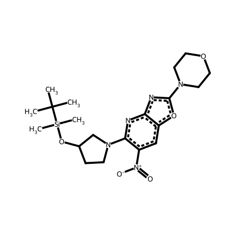 CC(C)(C)[Si](C)(C)OC1CCN(c2nc3nc(N4CCOCC4)oc3cc2[N+](=O)[O-])C1